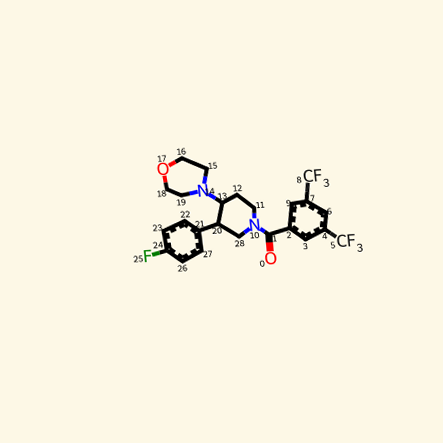 O=C(c1cc(C(F)(F)F)cc(C(F)(F)F)c1)N1CCC(N2CCOCC2)C(c2ccc(F)cc2)C1